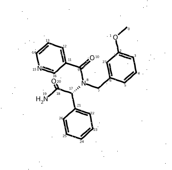 COc1cccc(CN(C(=O)c2cccnc2)[C@@H](C(N)=O)c2ccccc2)c1